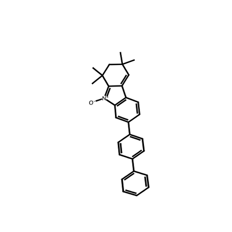 CC1(C)C=C2C(=[N+]([O-])c3cc(-c4ccc(-c5ccccc5)cc4)ccc32)C(C)(C)C1